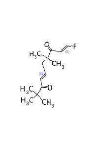 CC(C)(C)C(=O)/C=C/CC(C)(C)C(=O)/C=C/F